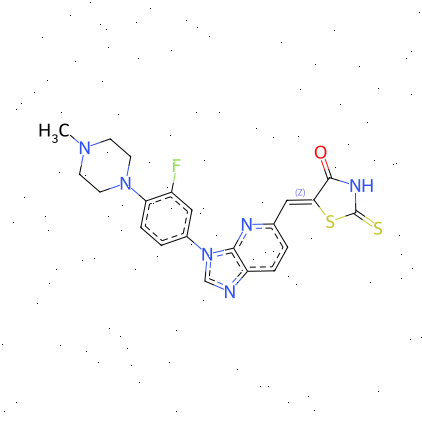 CN1CCN(c2ccc(-n3cnc4ccc(/C=C5\SC(=S)NC5=O)nc43)cc2F)CC1